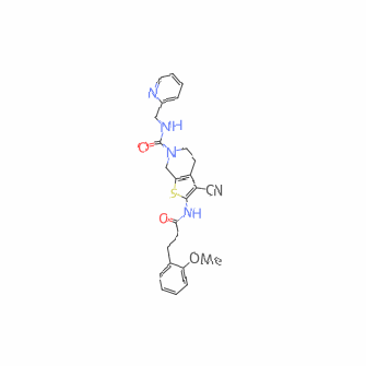 COc1ccccc1CCC(=O)Nc1sc2c(c1C#N)CCN(C(=O)NCc1ccccn1)C2